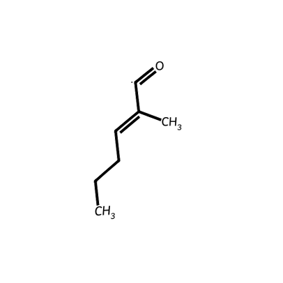 CCC/C=C(\C)[C]=O